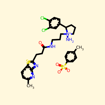 Cc1ccc(S(=O)(=O)[O-])cc1.Cc1ccc2sc(CCC(=O)NCCC[N+]3(N)CCCC3c3ccc(Cl)c(Cl)c3)nc2n1